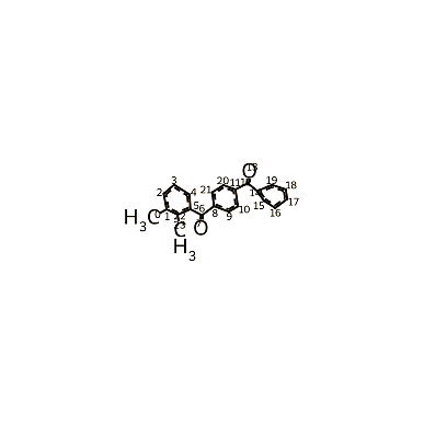 Cc1cccc(C(=O)c2ccc(C(=O)c3ccccc3)cc2)c1C